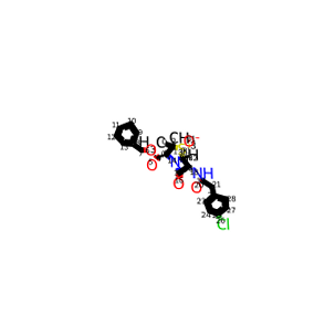 CC1(C)[C@H](C(=O)OCc2ccccc2)N2C(=O)[C@@H](NC(=O)Cc3ccc(Cl)cc3)[C@H]2[S@@+]1[O-]